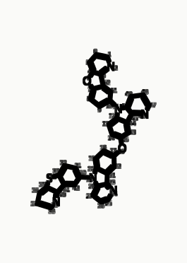 c1cnc2c(c1)oc1ccc(-n3c4ccc(Oc5ccc6c(c5)c5ncccc5n6-c5ccc6sc7cccnc7c6c5)cc4c4ncccc43)cc12